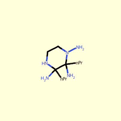 CCCC1(N)NCCN(N)C1(N)CCC